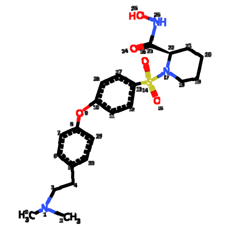 CN(C)CCc1ccc(Oc2ccc(S(=O)(=O)N3CCCC[C@@H]3C(=O)NO)cc2)cc1